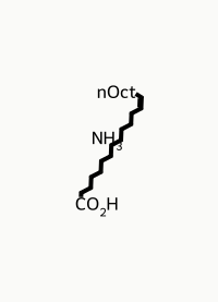 CCCCCCCC/C=C\CCCCCCCCCCCC(=O)O.N